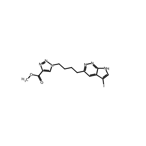 COC(=O)c1cn(CCCCc2cc3c(I)c[nH]c3nn2)nn1